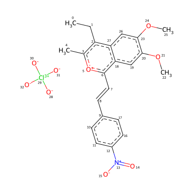 CCc1c(C)[o+]c(C=Cc2ccc([N+](=O)[O-])cc2)c2cc(OC)c(OC)cc12.[O-][Cl+3]([O-])([O-])[O-]